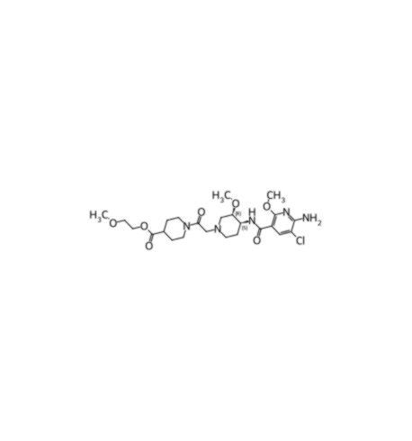 COCCOC(=O)C1CCN(C(=O)CN2CC[C@H](NC(=O)c3cc(Cl)c(N)nc3OC)[C@H](OC)C2)CC1